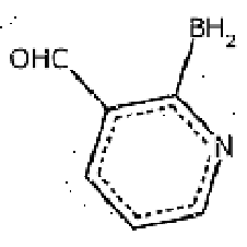 Bc1ncccc1C=O